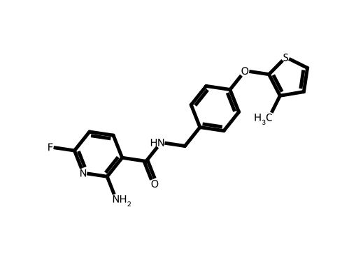 Cc1ccsc1Oc1ccc(CNC(=O)c2ccc(F)nc2N)cc1